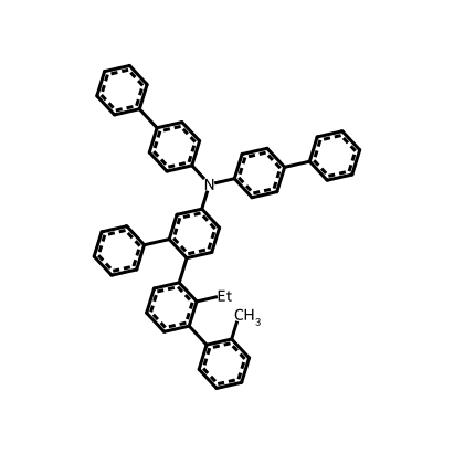 CCc1c(-c2ccccc2C)cccc1-c1ccc(N(c2ccc(-c3ccccc3)cc2)c2ccc(-c3ccccc3)cc2)cc1-c1ccccc1